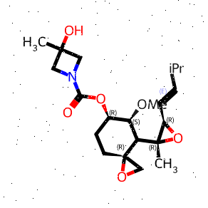 CO[C@H]1C([C@@]2(C)O[C@@H]2/C=C/C(C)C)[C@]2(CC[C@H]1OC(=O)N1CC(C)(O)C1)CO2